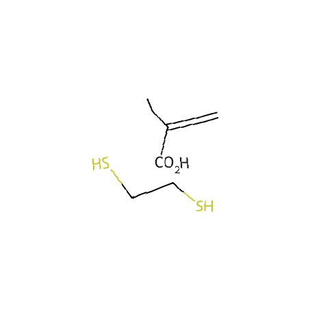 C=C(C)C(=O)O.SCCS